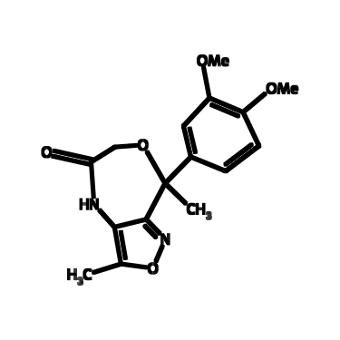 COc1ccc(C2(C)OCC(=O)Nc3c2noc3C)cc1OC